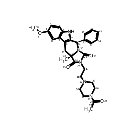 COc1ccc2[nH]c3c(c2c1)C[C@@]1(C)C(=O)N(CCN2CCN(C(C)=O)CC2)C(=O)N1[C@@H]3c1ccccc1